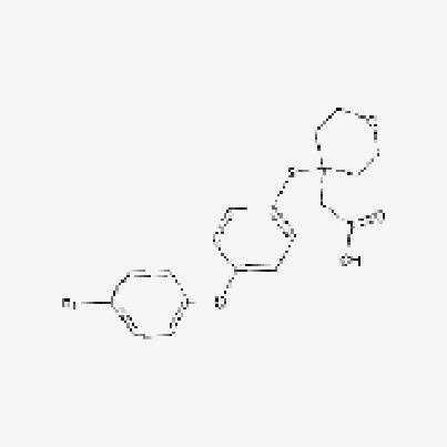 O=C(O)CC1(Sc2ccc(Oc3ccc(Br)cc3)cc2)CCOCC1